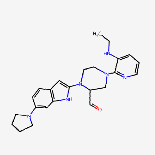 CCNc1cccnc1N1CCN(c2cc3ccc(N4CCCC4)cc3[nH]2)C(C=O)C1